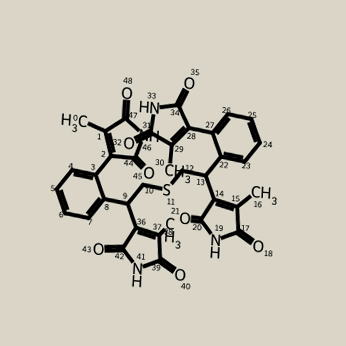 CC1=C(c2ccccc2C(CSCC(C2=C(C)C(=O)NC2=O)c2ccccc2C2=C(C)C(=O)NC2=O)C2=C(C)C(=O)NC2=O)C(=O)NC1=O